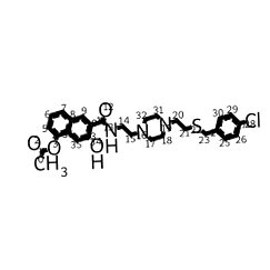 CC(=O)Oc1cccc2cc(C(=O)NCCN3CCN(CCSCc4ccc(Cl)cc4)CC3)c(O)cc12